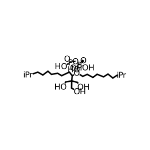 CC(C)CCCCCCCOC(CCCCCCCC(C)C)C(CO)(CO)CO.O=P(O)(O)OP(=O)(O)O